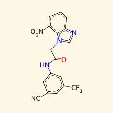 N#Cc1cc(NC(=O)Cn2cnc3cccc([N+](=O)[O-])c32)cc(C(F)(F)F)c1